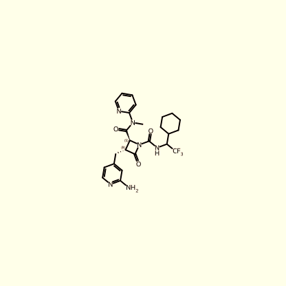 CN(C(=O)[C@@H]1[C@@H](Cc2ccnc(N)c2)C(=O)N1C(=O)NC(C1CCCCC1)C(F)(F)F)c1ccccn1